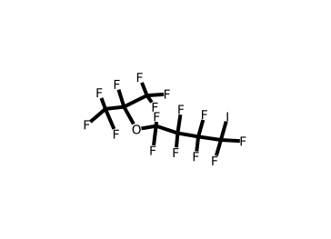 FC(F)(F)C(F)(OC(F)(F)C(F)(F)C(F)(F)C(F)(F)I)C(F)(F)F